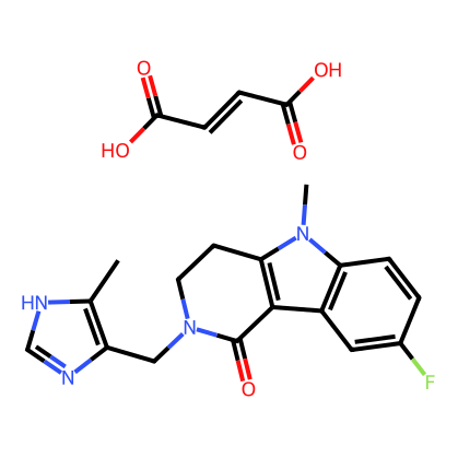 Cc1[nH]cnc1CN1CCc2c(c3cc(F)ccc3n2C)C1=O.O=C(O)C=CC(=O)O